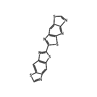 c1nc2cc3sc(-c4nc5cc6scnc6nc5s4)nc3cc2s1